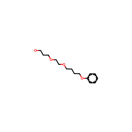 [O]CCCOCCOCCCCOc1ccccc1